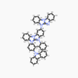 c1ccc(-n2c3ccccc3c3ccccc32)c(-c2ccccc2-n2c3ccc(-n4c5ccccc5n5c6ccccc6nc45)cc3n3c4ccccc4nc23)c1